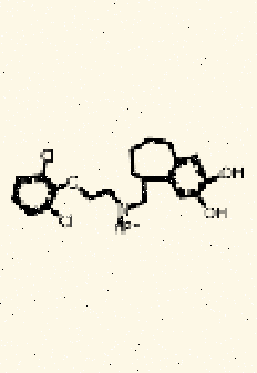 CCCN(CCOc1c(Cl)cccc1Cl)CC1CCCCc2cc(O)c(O)cc21